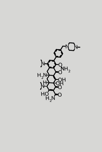 CN1CCN(Cc2ccc(-c3cc(N(C)C)c4c(c3ON)C(=O)C3=C(O)[C@]5(O)C(=O)C(C(N)=O)=C(O)[C@@H](N(C)C)[C@@H]5C[C@]3(N)C4)cc2)CC1